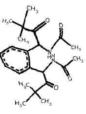 CC(=O)NC(C(=O)C(C)(C)C)c1ccccc1C(NC(C)=O)C(=O)C(C)(C)C